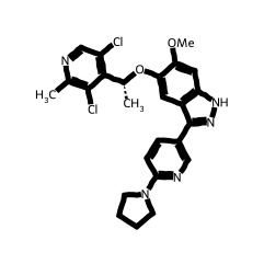 COc1cc2[nH]nc(-c3ccc(N4CCCC4)nc3)c2cc1O[C@H](C)c1c(Cl)cnc(C)c1Cl